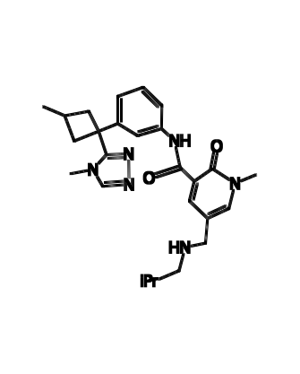 CC(C)CNCc1cc(C(=O)Nc2cccc(C3(c4nncn4C)CC(C)C3)c2)c(=O)n(C)c1